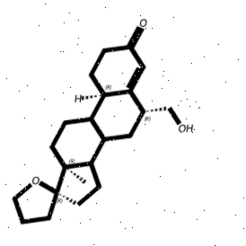 C[C@]12CCC3C(C[C@@H](CO)C4=CC(=O)CC[C@@H]43)C1CC[C@@]21CCCO1